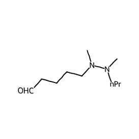 CCCN(C)N(C)CCCCC=O